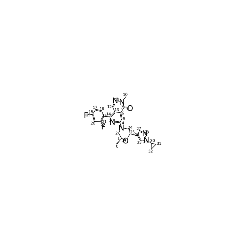 C[C@H]1CN(c2cc3c(=O)n(C)ncc3c(-c3ccc(F)cc3F)n2)C[C@@H](c2cnn(C3CC3)c2)O1